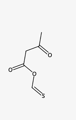 CC(=O)CC(=O)OC=S